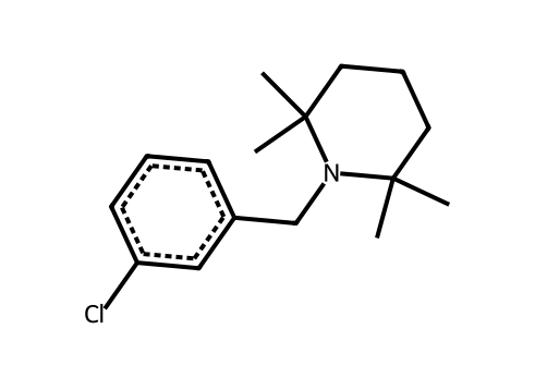 CC1(C)CCCC(C)(C)N1Cc1cccc(Cl)c1